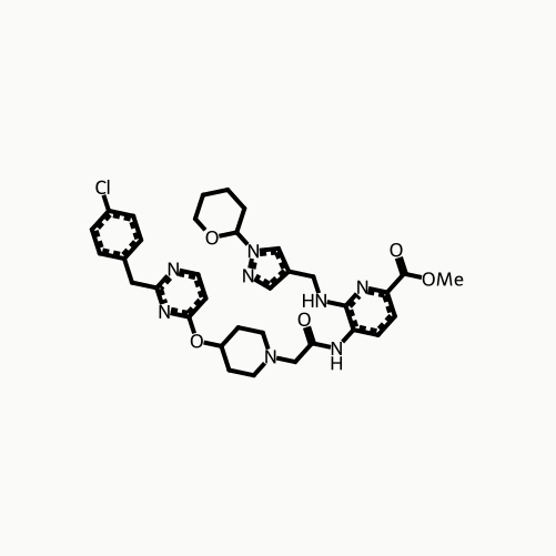 COC(=O)c1ccc(NC(=O)CN2CCC(Oc3ccnc(Cc4ccc(Cl)cc4)n3)CC2)c(NCc2cnn(C3CCCCO3)c2)n1